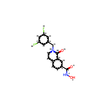 O=C(NO)c1ccc2ccn(Cc3cc(F)cc(F)c3)c(=O)c2c1